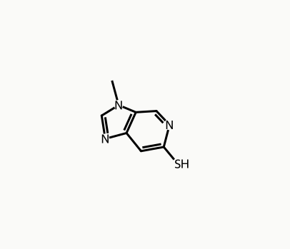 Cn1cnc2cc(S)ncc21